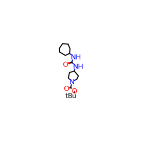 CC(C)(C)OC(=O)N1CCC(NC(=O)NC2CCCCCC2)CC1